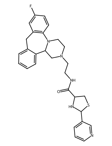 O=C(NCCN1CCN2c3ccc(F)cc3Cc3ccccc3C2C1)C1CSC(c2cccnc2)N1